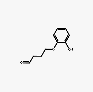 O=CCCCOc1ccccc1O